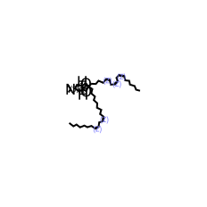 CCCCCC/C=C\C/C=C\C/C=C\CCCCC1(CCCCCCCC/C=C\C/C=C\CCCCCCC)O[C@H]2C[C@H](N(C)C)C[C@H]2O1